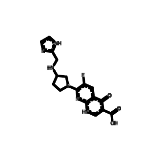 O=C(O)c1c[nH]c2nc(N3CCC(NCc4ncc[nH]4)C3)c(F)cc2c1=O